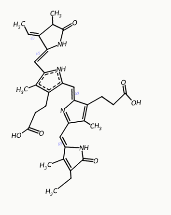 C/C=C1/C(=C/c2[nH]c(/C=C3N=C(/C=C4\NC(=O)C(CC)=C4C)C(C)=C\3CCC(=O)O)c(CCC(=O)O)c2C)NC(=O)C1C